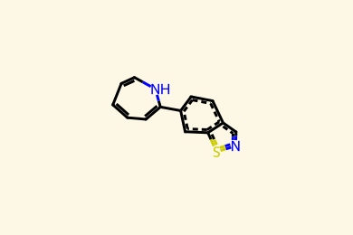 C1=CC=C(c2ccc3cnsc3c2)NC=C1